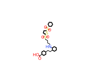 O=C(O)c1ccc(CCc2ccccc2NCCCCS(=O)(=O)c2ccc(S(=O)(=O)c3ccccc3)s2)cc1